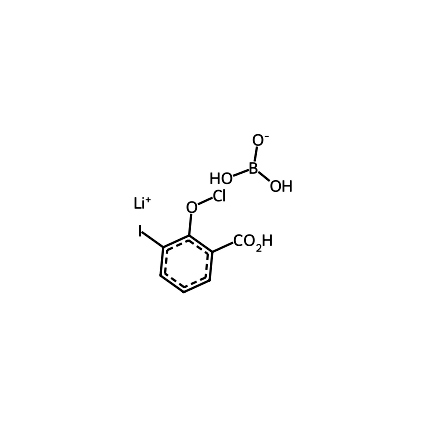 O=C(O)c1cccc(I)c1OCl.[Li+].[O-]B(O)O